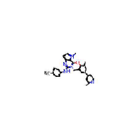 Cc1cc(-c2cc(C)c(Oc3nc(Nc4ccc(C#N)cc4)nc4ccn(C)c34)c(C)c2)ccn1